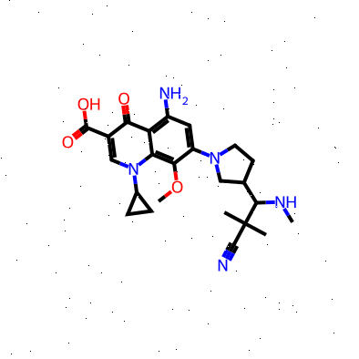 CNC(C1CCN(c2cc(N)c3c(=O)c(C(=O)O)cn(C4CC4)c3c2OC)C1)C(C)(C)C#N